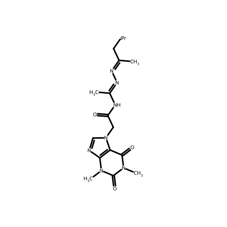 C/C(CC(C)C)=N\N=C(/C)NC(=O)Cn1cnc2c1c(=O)n(C)c(=O)n2C